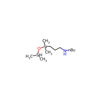 CCCCNCCC[Si](C)(C)O[SiH](C)C